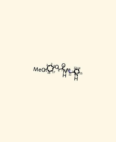 COc1ccc(OCC(=O)N/N=C/c2ccc[nH]2)cc1